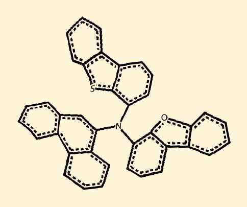 c1ccc2c(c1)cc(N(c1cccc3c1oc1ccccc13)c1cccc3c1sc1ccccc13)c1ccccc12